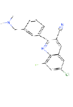 CN(C)Cc1cccc(-c2nc3c(F)cc(Cl)cc3cc2C#N)c1